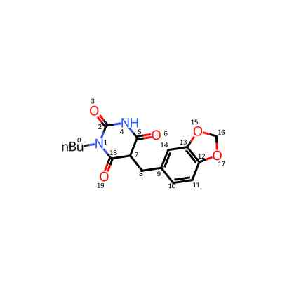 CCCCN1C(=O)NC(=O)C(Cc2ccc3c(c2)OCO3)C1=O